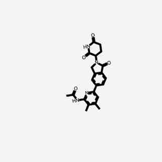 CC(=O)Nc1nc(-c2ccc3c(c2)CN(C2CCC(=O)NC2=O)C3=O)cc(C)c1C